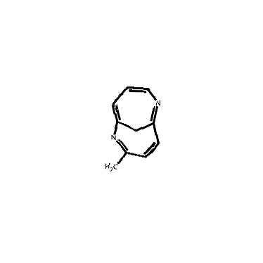 CC1=NC2=CC=CN=C(C=C1)C2